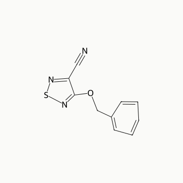 N#Cc1nsnc1OCc1ccccc1